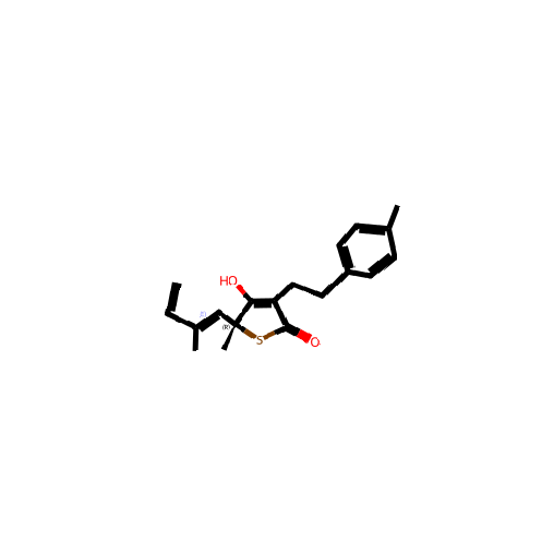 C=C/C(C)=C/[C@@]1(C)SC(=O)C(CCc2ccc(C)cc2)=C1O